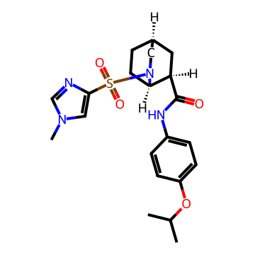 CC(C)Oc1ccc(NC(=O)[C@@H]2C[C@@H]3CC[C@H]2N(S(=O)(=O)c2cn(C)cn2)C3)cc1